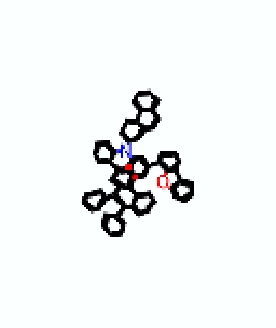 c1ccc(-c2c(-c3ccccc3)c3cc(-c4ccccc4N(c4cccc(-c5cccc6c5oc5ccccc56)c4)c4ccc5c(ccc6ccccc65)c4)ccc3c3ccccc23)cc1